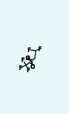 O=S(=O)(CC(F)F)C(F)(F)F